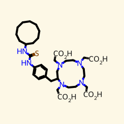 O=C(O)CN1CCN(CC(=O)O)CCN(CC(=O)O)C(Cc2ccc(NC(=S)NC3CCCCCCCCC3)cc2)CN(CC(=O)O)CC1